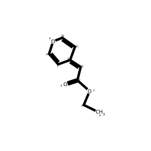 CCOC(=O)C=C1C=COC=C1